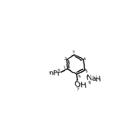 CCCc1ccccc1O.[NaH]